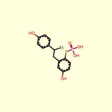 CCC(Cc1cc(O)ccc1SP(=O)(O)O)c1ccc(O)cc1